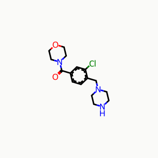 O=C(c1ccc(CN2CCNCC2)c(Cl)c1)N1CCOCC1